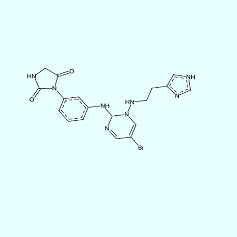 O=C1CNC(=O)N1c1cccc(NC2N=CC(Br)=CN2NCCc2c[nH]cn2)c1